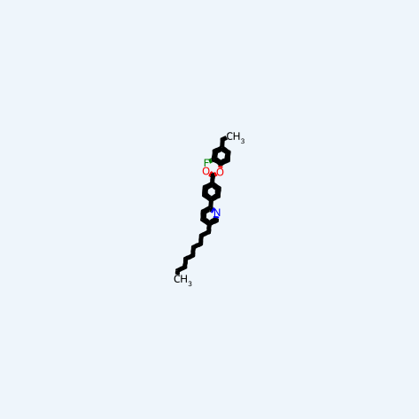 CCCCCCCCCc1ccc(-c2ccc(C(=O)Oc3ccc(CC)cc3F)cc2)nc1